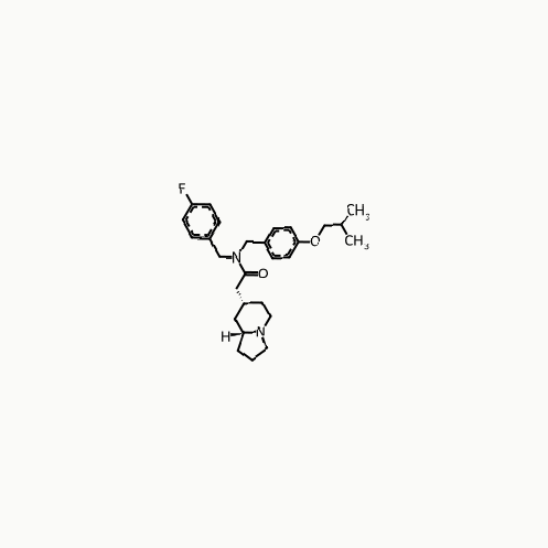 CC(C)COc1ccc(CN(Cc2ccc(F)cc2)C(=O)C[C@@H]2CCN3CCC[C@@H]3C2)cc1